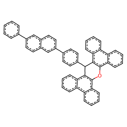 c1ccc(-c2ccc3cc(-c4ccc(C5c6c(c7ccccc7c7ccccc67)Oc6c5c5ccccc5c5ccccc65)cc4)ccc3c2)cc1